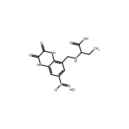 CCC(NCc1cc([N+](=O)[O-])cc2[nH]c(=O)c(=O)[nH]c12)C(=O)O.Cl